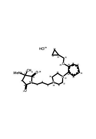 CNC1(C)CC(=O)N(CCCN2CCN(c3ccccc3OCC3CC3)CC2)C1=O.Cl